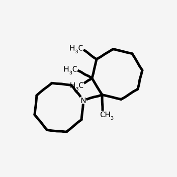 CC1CCCCCC(C)(N2CCCCCCC2)C1(C)C